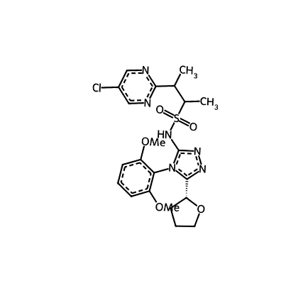 COc1cccc(OC)c1-n1c(NS(=O)(=O)C(C)C(C)c2ncc(Cl)cn2)nnc1[C@H]1CCCO1